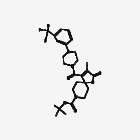 CC1=C(C(=O)N2CCN(c3cccc(C(F)(F)F)c3)CC2)C2(CCN(C(=O)OC(C)(C)C)CC2)OC1=O